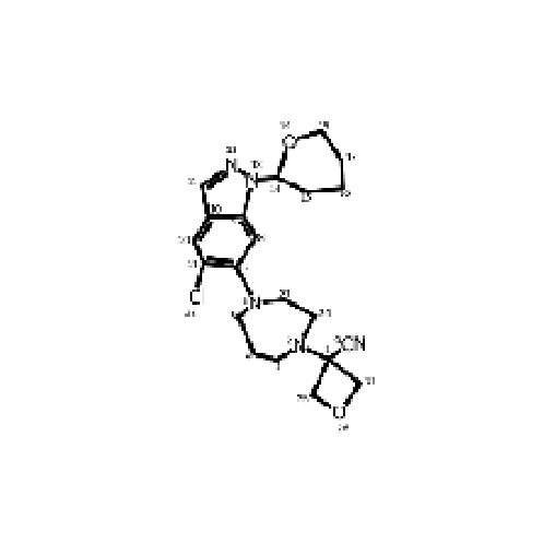 N#CC1(N2CCCN(c3cc4c(cnn4C4CCCCO4)cc3Cl)CC2)COC1